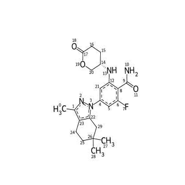 Cc1nn(-c2cc(F)c(C(N)=O)c(N[C@H]3CCC(=O)OC3)c2)c2c1CCC(C)(C)C2